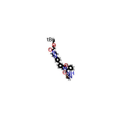 CC(C)(C)CCOCCC(=O)N1CCN(c2ccc(-c3ccc4c(c3)C(=O)N(C(C(=O)Nc3nccs3)c3ccccc3)C4)cc2)CC1